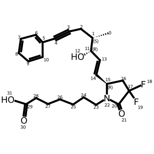 C[C@@H](CC#Cc1ccccc1)[C@@H](O)C=C[C@H]1CC(F)(F)C(=O)N1CCCCCCC(=O)O